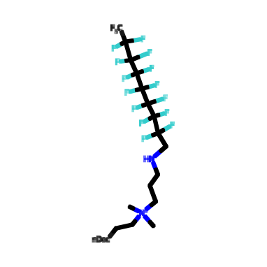 CCCCCCCCCCCC[N+](C)(C)CCCNCC(F)(F)C(F)(F)C(F)(F)C(F)(F)C(F)(F)C(F)(F)C(F)(F)C(F)(F)F